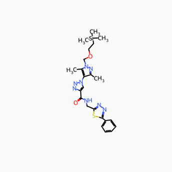 Cc1nn(COCC[Si](C)(C)C)c(C)c1-n1cc(C(=O)NCc2nnc(-c3ccccc3)s2)nn1